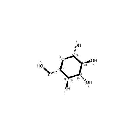 OC[C@@H]1O[C@H](O)[C@@H](O)[C@H](O)[C@H]1S